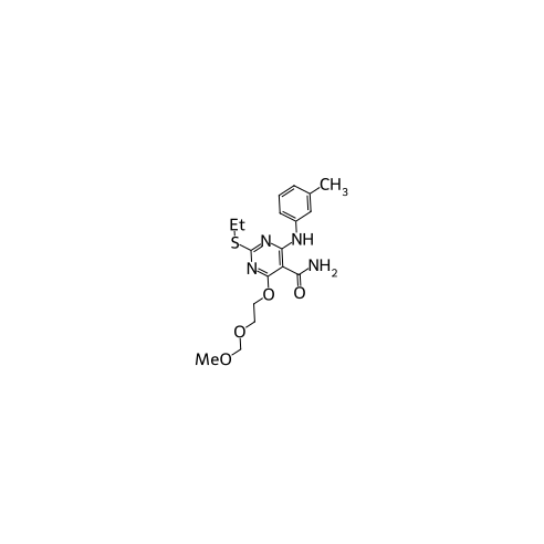 CCSc1nc(Nc2cccc(C)c2)c(C(N)=O)c(OCCOCOC)n1